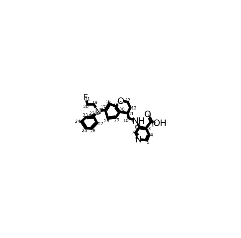 O=C(O)c1ccncc1NCC1CCOc2cc(N(CCF)c3ccccc3)ccc21